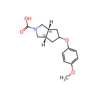 COc1ccc(OC2C[C@@H]3CN(C(=O)O)C[C@@H]3C2)cc1